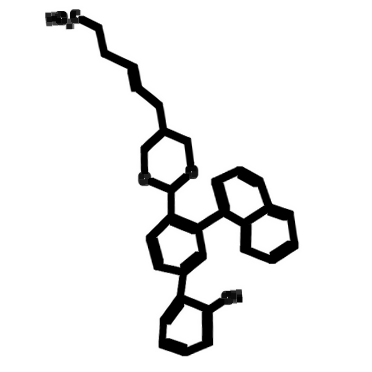 O=C(O)CCC=CCC1COC(c2ccc(-c3ccccc3O)cc2-c2cccc3ccccc23)OC1